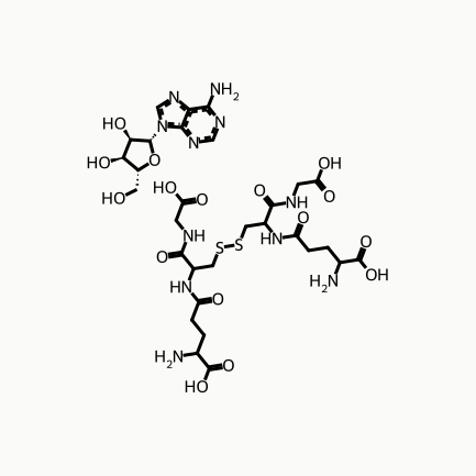 NC(CCC(=O)NC(CSSCC(NC(=O)CCC(N)C(=O)O)C(=O)NCC(=O)O)C(=O)NCC(=O)O)C(=O)O.Nc1ncnc2c1ncn2[C@@H]1O[C@H](CO)[C@@H](O)[C@H]1O